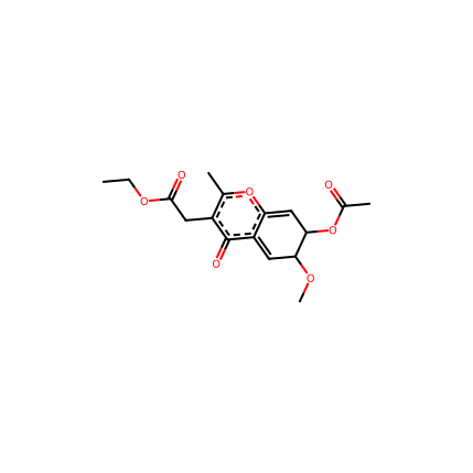 CCOC(=O)Cc1c(C)oc2c(c1=O)=CC(OC)C(OC(C)=O)C=2